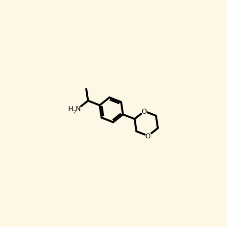 CC(N)c1ccc(C2COCCO2)cc1